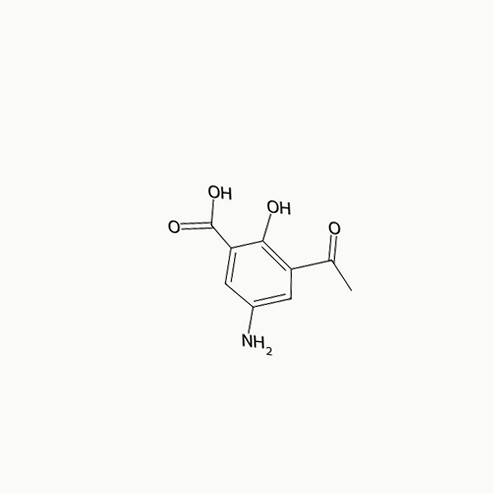 CC(=O)c1cc(N)cc(C(=O)O)c1O